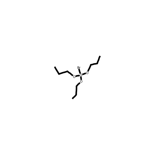 CCC[O][Ti]([Br])([O]CCC)[O]CCC